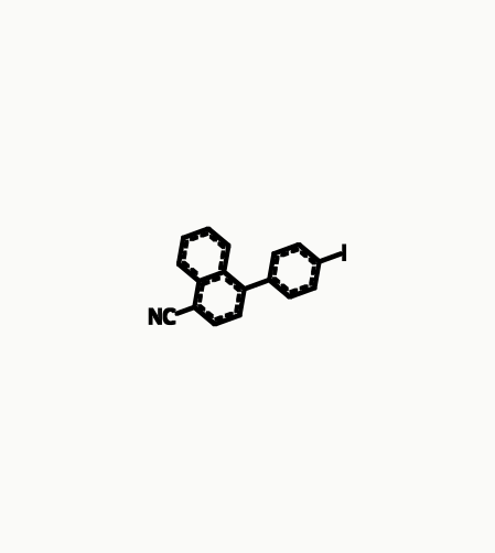 N#Cc1ccc(-c2ccc(I)cc2)c2ccccc12